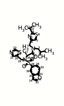 CC(C)CN(Cc1csc(C(C)C)n1)C(=O)[C@H](C)N(Cc1cncs1)S(=O)(=O)c1ccc2occc2c1